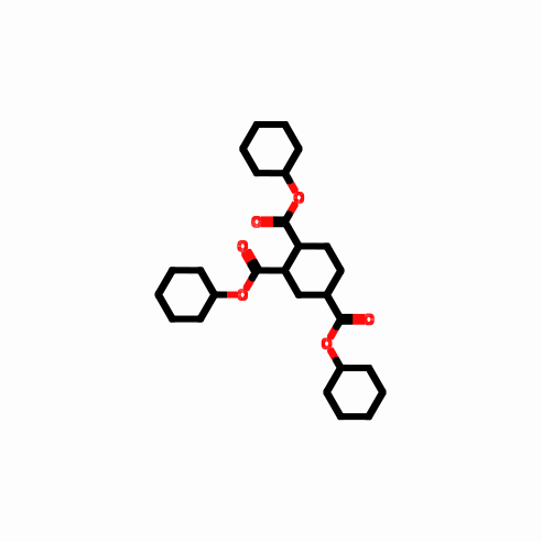 O=C(OC1CCCCC1)C1CCC(C(=O)OC2CCCCC2)C(C(=O)OC2CCCCC2)C1